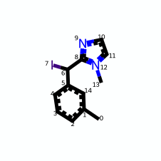 Cc1cccc(C(I)c2nccn2C)c1